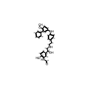 COc1ccc(Nc2ccc(CCNCC(O)c3ccc(O)c(NC=O)c3)cc2)cc1-c1ccccc1